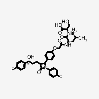 CC(C)C[C@@H](NC(=O)COc1ccc(C2C(CC[C@@H](O)c3ccc(F)cc3)C(=O)N2c2ccc(F)cc2)cc1)C(=O)NC(CO)C(=O)O